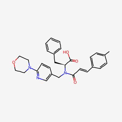 Cc1ccc(/C=C/C(=O)N(Cc2ccc(N3CCOCC3)nc2)[C@@H](Cc2ccccc2)C(=O)O)cc1